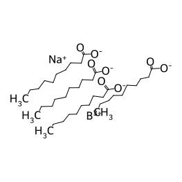 CCCCCCCCCC(=O)[O-].CCCCCCCCCC(=O)[O-].CCCCCCCCCC(=O)[O-].CCCCCCCCCC(=O)[O-].[B+3].[Na+]